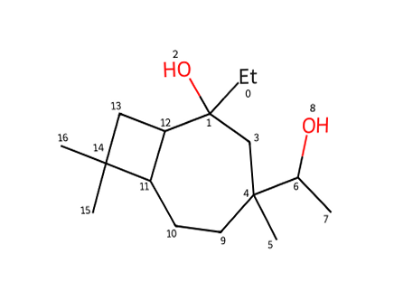 CCC1(O)CC(C)(C(C)O)CCC2C1CC2(C)C